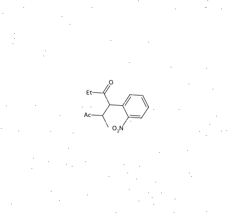 CCC(=O)C(c1ccccc1[N+](=O)[O-])C(C)C(C)=O